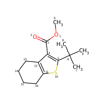 COC(=O)c1c(C(C)(C)C)sc2c1CCCC2